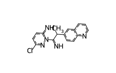 CC(C(=N)n1nc(Cl)ccc1=N)c1ccc2ncccc2c1